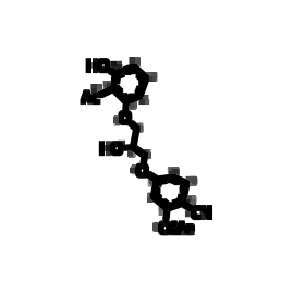 COc1cc(OCC(O)COc2cccc(O)c2C(C)=O)ccc1C#N